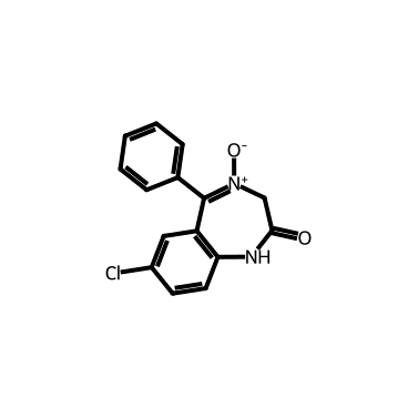 O=C1C[N+]([O-])=C(c2ccccc2)c2cc(Cl)ccc2N1